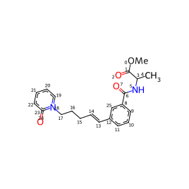 COC(=O)C(C)NC(=O)c1cccc(C=CCCCn2ccccc2=O)c1